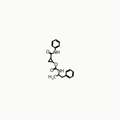 CC(Cc1ccccc1)NC(=O)OC1CC1C(=O)Nc1ccccc1